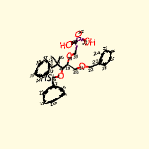 CC(C)(C)C(O[SiH](c1ccccc1)c1ccccc1)[C@H](COCc1ccccc1)OCP(=O)(O)O